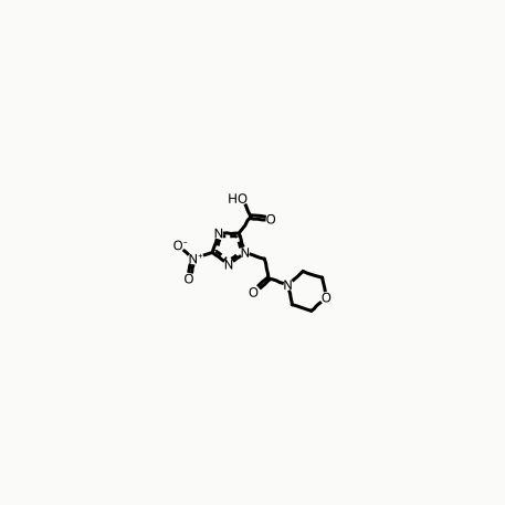 O=C(O)c1nc([N+](=O)[O-])nn1CC(=O)N1CCOCC1